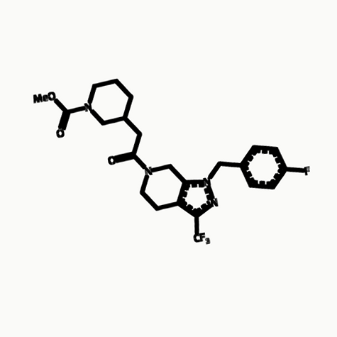 COC(=O)N1CCCC(CC(=O)N2CCc3c(C(F)(F)F)nn(Cc4ccc(F)cc4)c3C2)C1